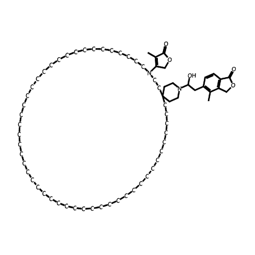 CC1=C(N2CCCCCCCCCCCCCCCCCCCCCCCCCCCCCCCCCCCCCCCCCCCCCCCCC3(CC2)CCN(C(O)Cc2ccc4c(c2C)COC4=O)CC3)COC1=O